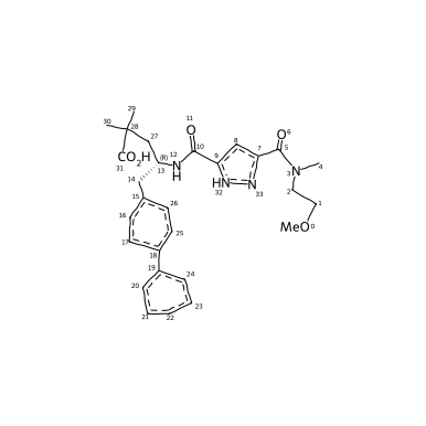 COCCN(C)C(=O)c1cc(C(=O)N[C@H](Cc2ccc(-c3ccccc3)cc2)CC(C)(C)C(=O)O)[nH]n1